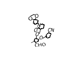 Cc1cc(OCc2cccn(-c3ccc4c(c3)OCCO4)c2=O)c(OCc2cccc(C#N)c2)cc1C=O